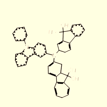 CC1(C)C2=CC(N(C3=CC=C4C5=C(C=CCC=C5)C(C)(C)C4C3)c3ccc4c(c3)c3ccccc3n4-c3ccccc3)CC=C2c2ccccc21